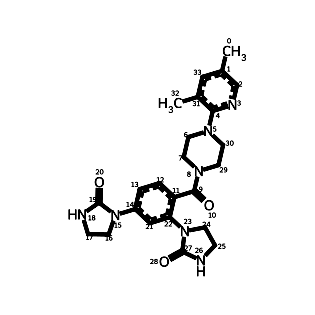 Cc1cnc(N2CCN(C(=O)c3ccc(N4CCNC4=O)cc3N3CCNC3=O)CC2)c(C)c1